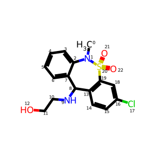 CN1c2ccccc2C(NCCO)c2ccc(Cl)cc2S1(=O)=O